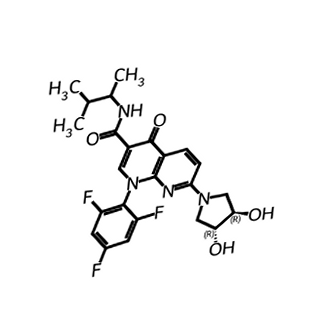 CC(C)C(C)NC(=O)c1cn(-c2c(F)cc(F)cc2F)c2nc(N3C[C@@H](O)[C@H](O)C3)ccc2c1=O